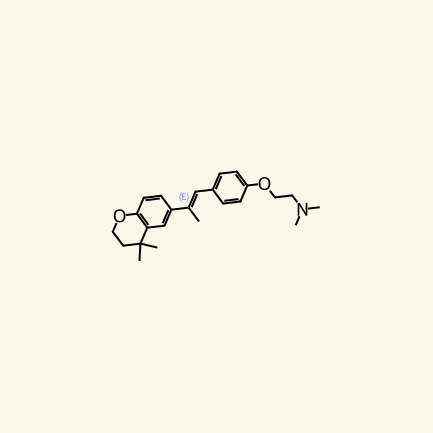 C/C(=C\c1ccc(OCCN(C)C)cc1)c1ccc2c(c1)C(C)(C)CCO2